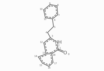 O=c1[nH]c(CCc2ccccc2)cc2ccccc12